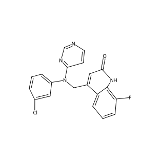 O=c1cc(CN(c2cccc(Cl)c2)c2ccncn2)c2cccc(F)c2[nH]1